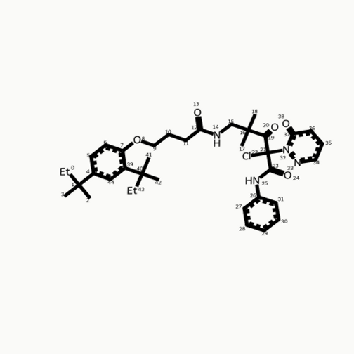 CCC(C)(C)c1ccc(OCCCC(=O)NCC(C)(C)C(=O)C(Cl)(C(=O)Nc2ccccc2)n2ncccc2=O)c(C(C)(C)CC)c1